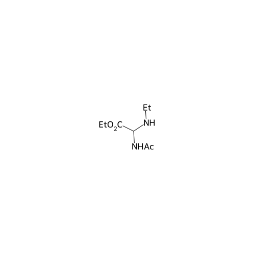 CCNC(NC(C)=O)C(=O)OCC